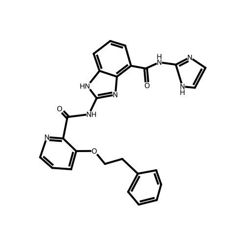 O=C(Nc1nc2c(C(=O)Nc3ncc[nH]3)cccc2[nH]1)c1ncccc1OCCc1ccccc1